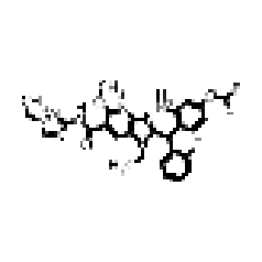 CCn1cnc(NC(=O)c2cc3c(nc2OC)nc(C(c2ccccc2F)c2ccc(OC(F)F)cc2P)n3CC)n1